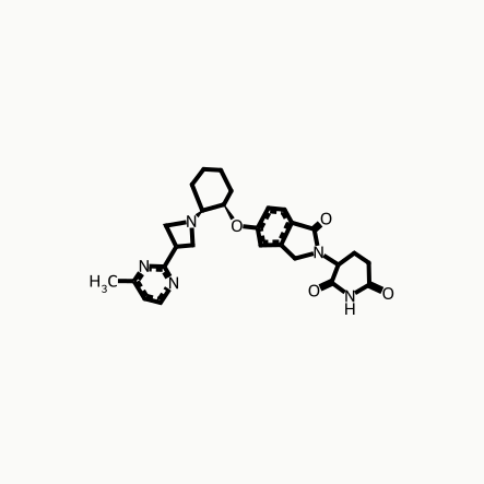 Cc1ccnc(C2CN([C@H]3CCCC[C@H]3Oc3ccc4c(c3)CN(C3CCC(=O)NC3=O)C4=O)C2)n1